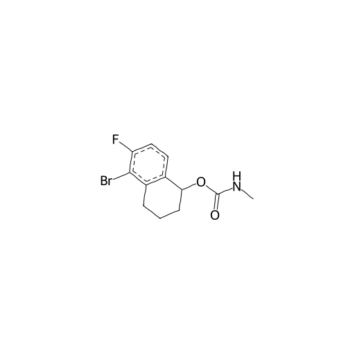 CNC(=O)OC1CCCc2c1ccc(F)c2Br